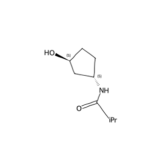 CC(C)C(=O)N[C@H]1CC[C@H](O)C1